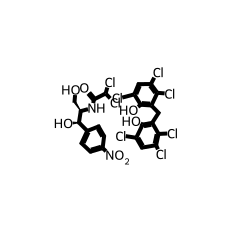 O=C(N[C@H](CO)[C@H](O)c1ccc([N+](=O)[O-])cc1)C(Cl)Cl.Oc1c(Cl)cc(Cl)c(Cl)c1Cc1c(O)c(Cl)cc(Cl)c1Cl